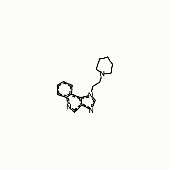 c1ccc2c(c1)ncc1ncn(CCN3CCCCC3)c12